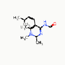 CC1=C(/C=C\C(C)C)C(NC=O)=NC(C)N1C